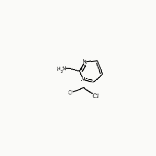 ClCCl.Nc1ncccn1